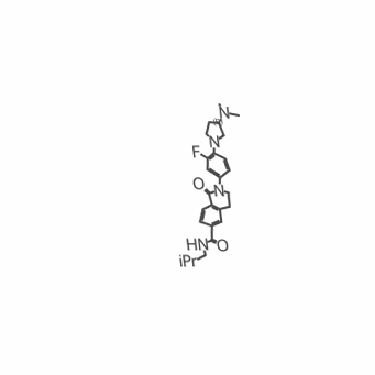 CC(C)CNC(=O)c1ccc2c(c1)CCN(c1ccc(N3CC[C@@H](N(C)C)C3)c(F)c1)C2=O